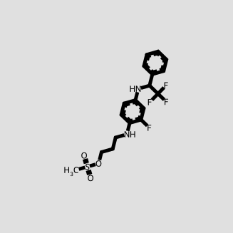 CS(=O)(=O)OCCCNc1ccc(NC(c2ccccc2)C(F)(F)F)cc1F